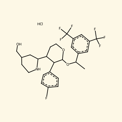 CC(OC1OCCC(C2CC(CO)CCN2)C1c1ccc(F)cc1)c1cc(C(F)(F)F)cc(C(F)(F)F)c1.Cl